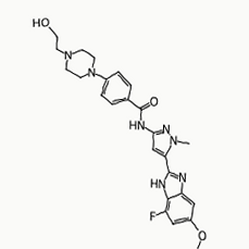 COc1cc(F)c2[nH]c(-c3cc(NC(=O)c4ccc(N5CCN(CCO)CC5)cc4)nn3C)nc2c1